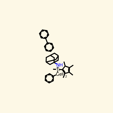 CC1=C(C)C(C)[C]([Ti]([CH3])([NH]C23CC4CC(CC(C4)C2)C3)[GeH2][c]2ccccc2)=C1C.c1ccc(-c2ccccc2)cc1